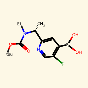 CCN(C(=O)OC(C)(C)C)[C@H](C)c1cc(B(O)O)c(F)cn1